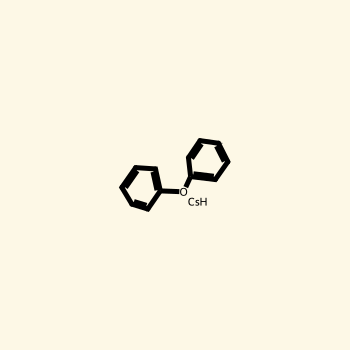 [CsH].[c]1ccc(Oc2ccccc2)cc1